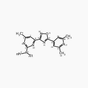 CCCN(CC)c1nc(C)cc(-c2noc(-c3cc(C)nc(C)c3)n2)n1